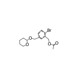 CC(=O)OCc1cc(COC2CCCCO2)ccc1Br